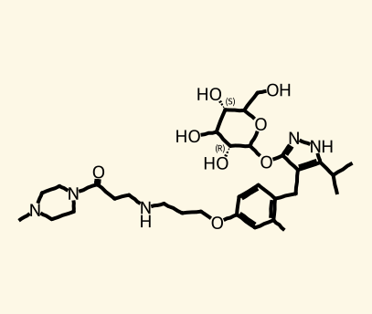 Cc1cc(OCCCNCCC(=O)N2CCN(C)CC2)ccc1Cc1c(OC2OC(CO)[C@@H](O)C(O)[C@H]2O)n[nH]c1C(C)C